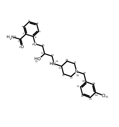 NC(=O)c1ccccc1OCC(O)CNC1CCN(Cc2cccc(Cl)c2)CC1